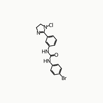 O=C(Nc1ccc(Br)cc1)Nc1cccc(C2=NCCN2Cl)c1